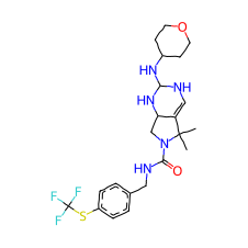 CC1(C)C2=CNC(NC3CCOCC3)NC2CN1C(=O)NCc1ccc(SC(F)(F)F)cc1